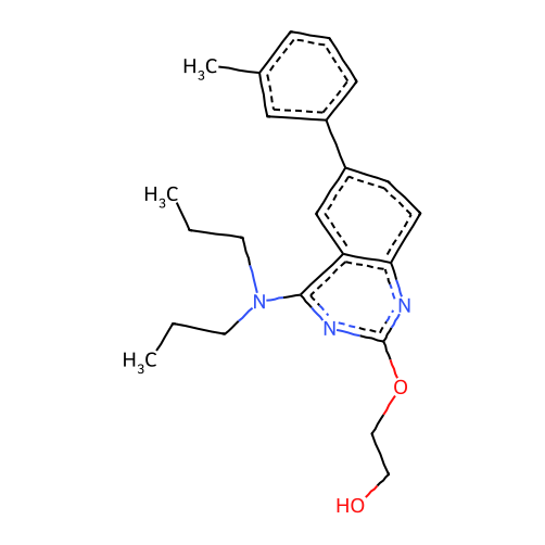 CCCN(CCC)c1nc(OCCO)nc2ccc(-c3cccc(C)c3)cc12